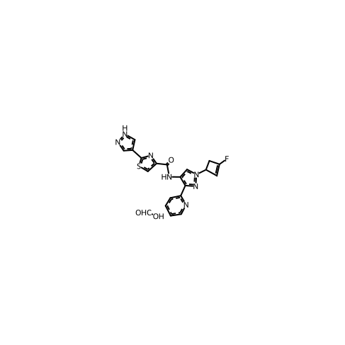 O=C(Nc1cn(C2C=C(F)C2)nc1-c1ccccn1)c1csc(-c2cn[nH]c2)n1.O=CO